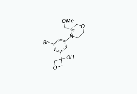 COC[C@@H]1COCCN1c1cc(Br)cc(C2(O)COC2)c1